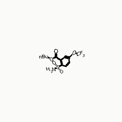 CCCCOC(=O)c1cc(OC(F)(F)F)ccc1S(N)(=O)=O